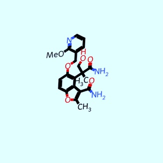 COc1ncccc1COc1ccc2oc(C)c(C(N)=O)c2c1C(C)(CO)C(N)=O